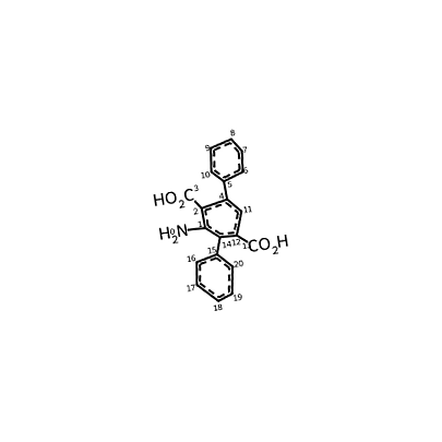 Nc1c(C(=O)O)c(-c2ccccc2)cc(C(=O)O)c1-c1ccccc1